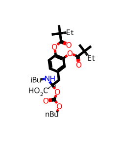 CCCCOC(=O)O[C@](Cc1ccc(OC(=O)C(C)(C)CC)c(OC(=O)C(C)(C)CC)c1)(NC(C)CC)C(=O)O